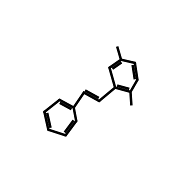 Cc1ccc(C)c(C=Cc2ccccc2)c1